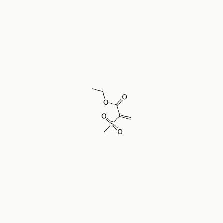 C=C(C(=O)OCC)S(C)(=O)=O